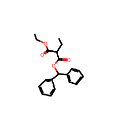 CCOC(=O)C(CC)C(=O)OC(c1ccccc1)c1ccccc1